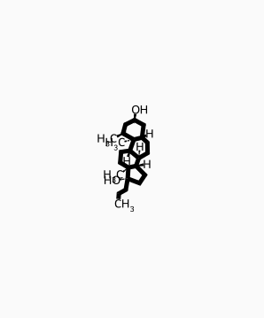 CCC[C@]1(O)CC[C@H]2[C@@H]3CC[C@H]4C[C@H](O)C[C@H](C)[C@]4(C)[C@H]3CC[C@@]21C